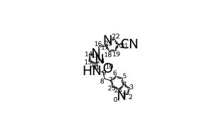 Cn1ccc2ccc(CC(=O)Nc3ccn(Cc4ccc(C#N)cn4)n3)cc21